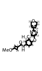 COC1CC(C(=O)Nc2ccc(Oc3cnc(N4C5CCC4COC5)nc3)c(C)c2)C1